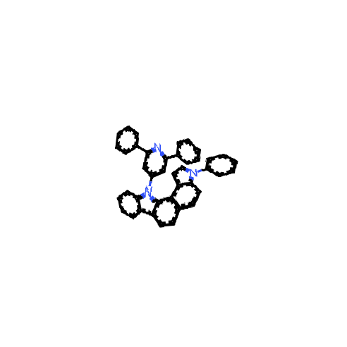 c1ccc(-c2cc(-n3c4ccccc4c4ccc5ccc6c(ccn6-c6ccccc6)c5c43)cc(-c3ccccc3)n2)cc1